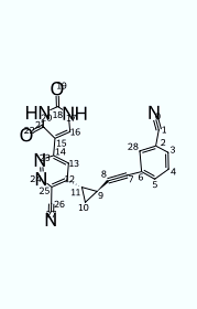 N#Cc1cccc(C#C[C@H]2C[C@@H]2c2cc(-c3c[nH]c(=O)[nH]c3=O)nnc2C#N)c1